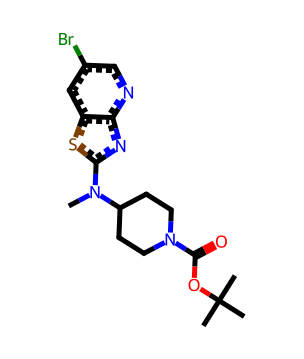 CN(c1nc2ncc(Br)cc2s1)C1CCN(C(=O)OC(C)(C)C)CC1